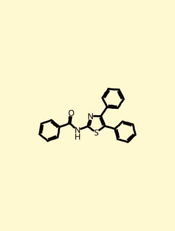 O=C(Nc1nc(-c2ccccc2)c(-c2ccccc2)s1)c1ccccc1